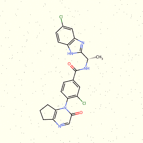 C[C@H](NC(=O)c1ccc(-n2c3c(ncc2=O)CCC3)c(Cl)c1)c1nc2cc(Cl)ccc2[nH]1